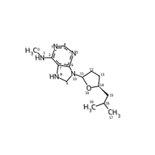 CNc1ncnc2c1NCN2C1CC[C@@H](CC(C)C)O1